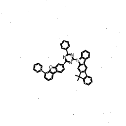 CC1(C)c2ccccc2-c2cc3c4ccccc4n(-c4nc(-c5ccccc5)nc(-c5ccc6c(c5)oc5c(-c7ccccc7)cccc56)n4)c3cc21